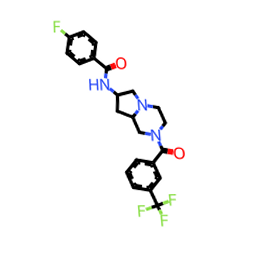 O=C(NC1CC2CN(C(=O)c3cccc(C(F)(F)F)c3)CCN2C1)c1ccc(F)cc1